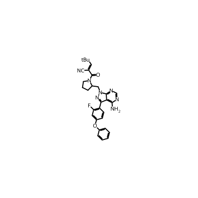 CC(C)(C)/C=C(\C#N)C(=O)N1CCCC1Cn1nc(-c2ccc(Oc3ccccc3)cc2F)c2c(N)ncnc21